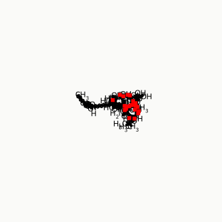 CCCCCOc1ccc(S(=O)(=O)NCCCCCCNCc2c(O)cc3c4c2C(O)(O)c2ccc(cc2-4)[C@H]2CC(=O)[C@@H]4NC(=O)[C@H](CC(N)=O)CC(=O)[C@H](NC(=O)[C@H](CC)CC(C)C)[C@H](O)c5ccc(c(Cl)c5)Oc5cc4cc(c5O[C@@H]4O[C@H](CO)[C@@H](O)[C@H](O)[C@H]4O[C@H]4C[C@](C)(N)[C@H](O)[C@H](C)O4)Oc4ccc(cc4Cl)[C@@H](O)[C@H](NC2=O)C(=O)N[C@@H]3C(=O)O)cc1